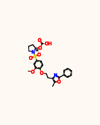 COc1cc(S(=O)(=O)N2CCC[C@H]2OC(=O)O)ccc1OCCc1nc(-c2ccccc2)oc1C